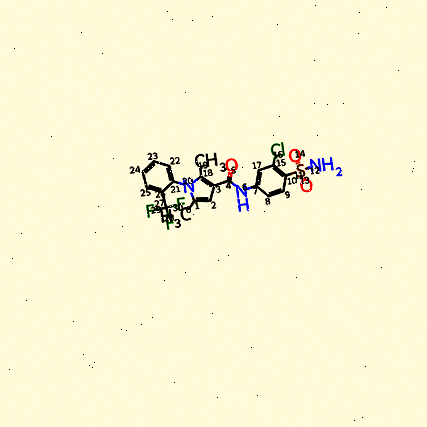 Cc1cc(C(=O)Nc2ccc(S(N)(=O)=O)c(Cl)c2)c(C)n1-c1ccccc1C(F)(F)F